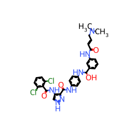 CN(C)C/C=C/C(=O)Nc1cccc(C(O)Nc2ccc(NC(=O)c3n[nH]cc3NC(=O)c3c(Cl)cccc3Cl)cc2)c1